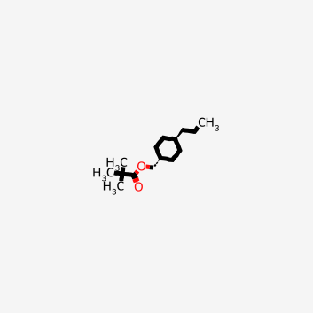 CCC[C@H]1CC[C@H](COC(=O)C(C)(C)C)CC1